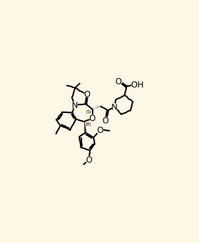 COc1ccc([C@@H]2O[C@@H](CC(=O)N3CCCC(C(=O)O)C3)C(=O)N(CC(C)(C)C)c3ccc(C)cc32)c(OC)c1